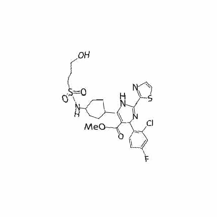 COC(=O)C1=C(C2CCC(NS(=O)(=O)CCCO)CC2)NC(c2nccs2)=NC1c1ccc(F)cc1Cl